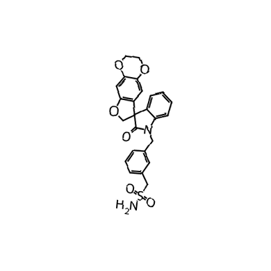 NS(=O)(=O)Cc1cccc(CN2C(=O)C3(COc4cc5c(cc43)OCCO5)c3ccccc32)c1